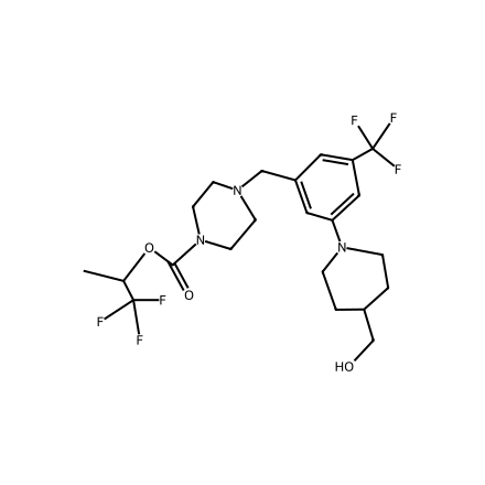 CC(OC(=O)N1CCN(Cc2cc(N3CCC(CO)CC3)cc(C(F)(F)F)c2)CC1)C(F)(F)F